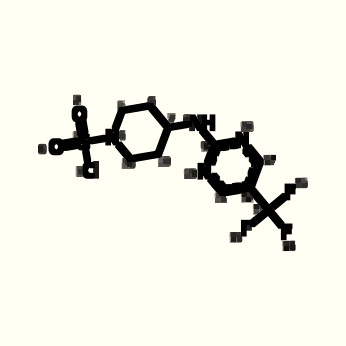 O=S(=O)(Cl)N1CCC(Nc2ncc(C(F)(F)F)cn2)CC1